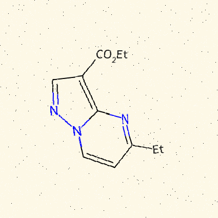 CCOC(=O)c1cnn2ccc(CC)nc12